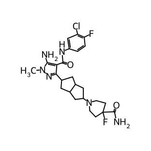 Cn1nc(C2CC3CC(N4CCC(F)(C(N)=O)CC4)CC3C2)c(C(=O)Nc2ccc(F)c(Cl)c2)c1N